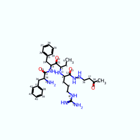 CCC(NC(CCCNC(=N)N)C(=O)NNCCC(C)=O)C(=O)C(Cc1ccccc1)NC(=O)C(N)Cc1ccccc1